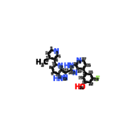 Cc1ccncc1-c1ccc2[nH]nc(-c3nc4c(-c5cc(O)cc(F)c5)ccnc4[nH]3)c2n1